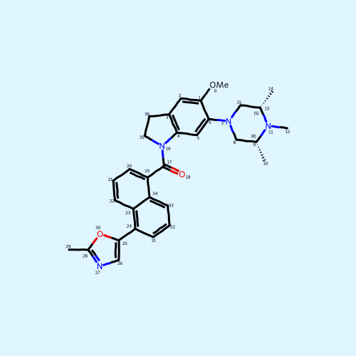 COc1cc2c(cc1N1C[C@@H](C)N(C)[C@@H](C)C1)N(C(=O)c1cccc3c(-c4cnc(C)o4)cccc13)CC2